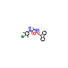 Cc1cc(NC(=O)C(C)NC(=O)OCC2c3ccccc3-c3ccccc32)cc(C)c1Br